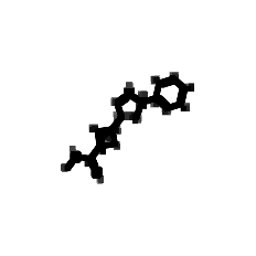 COC(=O)C12CC(c3cnn(-c4ccccc4)c3)(C1)C2